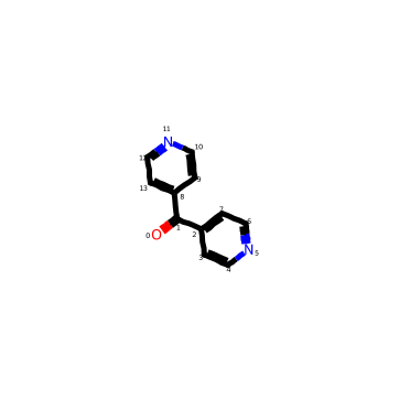 O=C(c1ccncc1)c1ccncc1